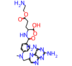 CN(Cc1cnc2nc(N)nc(N)c2n1)c1ccc(C(=O)NC(CCC(=O)OCCN)C(=O)O)cc1